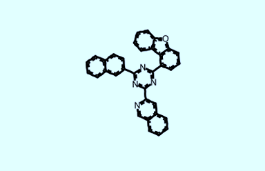 c1ccc2cc(-c3nc(-c4cc5ccccc5cn4)nc(-c4cccc5oc6ccccc6c45)n3)ccc2c1